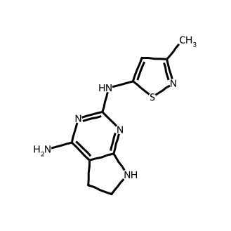 Cc1cc(Nc2nc(N)c3c(n2)NCC3)sn1